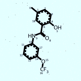 Cc1ccc(O)c(C(=O)Nc2cccc(OC(F)(F)F)c2)c1